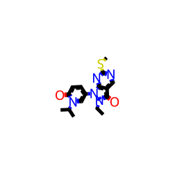 CCn1c(=O)c2cnc(SC)nc2n1-c1ccc(=O)n(C(C)C)c1